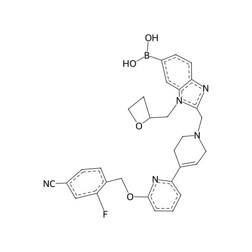 N#Cc1ccc(COc2cccc(C3=CCN(Cc4nc5ccc(B(O)O)cc5n4CC4CCO4)CC3)n2)c(F)c1